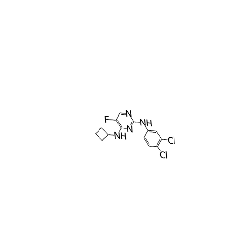 Fc1cnc(Nc2ccc(Cl)c(Cl)c2)nc1NC1CCC1